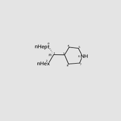 CCCCCCC[C@@H](CCCCCC)C1CCNCC1